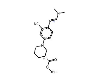 CN(C)/C=N/c1ccc(N2CCC[C@@H](C(=O)OC(C)(C)C)C2)cc1C#N